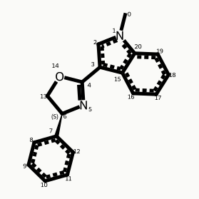 Cn1cc(C2=N[C@@H](c3ccccc3)CO2)c2ccccc21